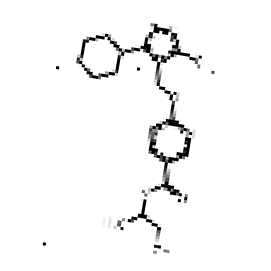 Cc1onc(C2CCCCC2)c1COc1ccc(C(=O)NC(C)CO)cn1